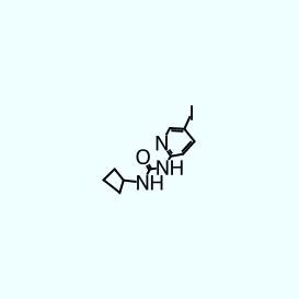 O=C(Nc1ccc(I)cn1)NC1CCC1